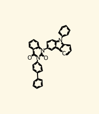 O=c1c2ccccc2n(-c2ccc3c(c2)c2ccccc2n3-c2ccccc2)c(=O)n1-c1ccc(-c2ccccc2)cc1